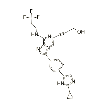 OCC#Cc1cn2c(-c3ccc(-c4cnc(C5CC5)[nH]4)cc3)cnc2c(NCCC(F)(F)F)n1